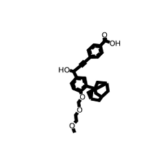 COCCOCOc1ccc(C(O)C#Cc2ccc(C(=O)O)cc2)cc1C12CC3CC(CC(C3)C1)C2